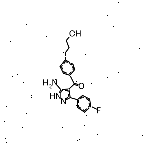 Nc1[nH]nc(-c2ccc(F)cc2)c1C(=O)c1ccc(CCCO)cc1